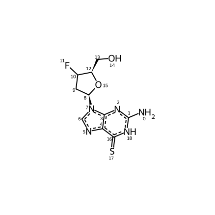 Nc1nc2c(ncn2[C@H]2CC(F)[C@@H](CO)O2)c(=S)[nH]1